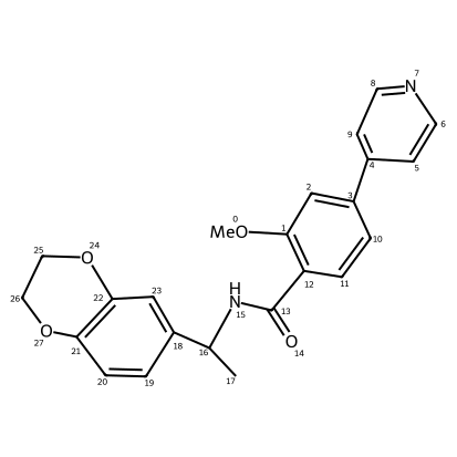 COc1cc(-c2ccncc2)ccc1C(=O)NC(C)c1ccc2c(c1)OCCO2